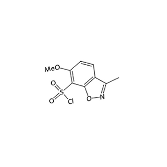 COc1ccc2c(C)noc2c1S(=O)(=O)Cl